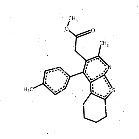 COC(=O)Cc1c(C)nc2sc3c(c2c1-c1ccc(C)cc1)CCCC3